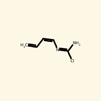 C=C/C=C\N=C(/N)Cl